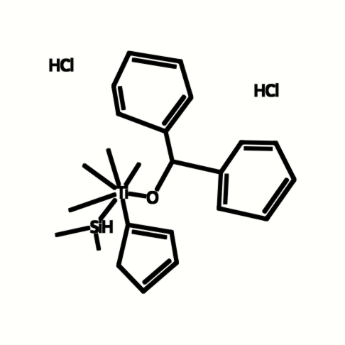 C[SiH](C)[Ti]([CH3])([CH3])([CH3])([CH3])([O]C(c1ccccc1)c1ccccc1)[C]1=CC=CC1.Cl.Cl